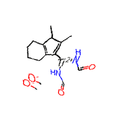 CC1=[C]([Ti+2]([NH]C=O)[NH]C=O)C2=C(CCCC2)C1C.C[O-].C[O-]